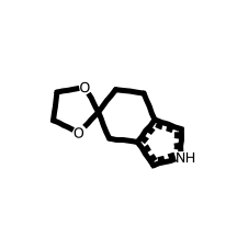 c1[nH]cc2c1CCC1(C2)OCCO1